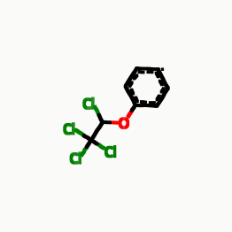 ClC(Oc1cc[c]cc1)C(Cl)(Cl)Cl